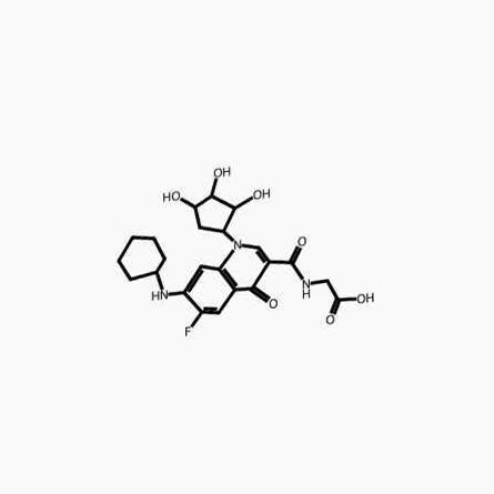 O=C(O)CNC(=O)c1cn(C2CC(O)C(O)C2O)c2cc(NC3CCCCC3)c(F)cc2c1=O